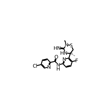 CN1SC[C@@](C)(c2nc(NC(=O)c3ccc(Cl)cn3)ccc2F)NC1=N